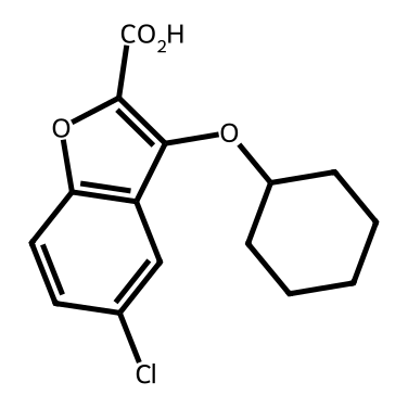 O=C(O)c1oc2ccc(Cl)cc2c1OC1CCCCC1